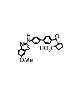 COc1ccc2nc(Nc3ccc(-c4ccc(C(=O)[C@H]5CCC[C@@H]5C(=O)O)cc4)cc3)sc2c1